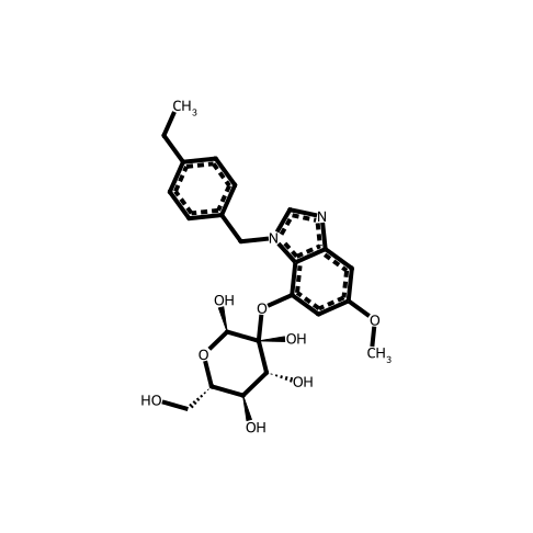 CCc1ccc(Cn2cnc3cc(OC)cc(O[C@@]4(O)[C@H](O)O[C@@H](CO)[C@H](O)[C@H]4O)c32)cc1